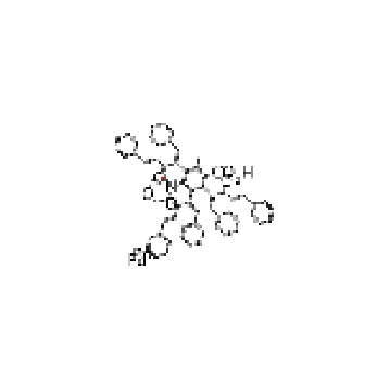 Cc1c(C(=O)O)c(C(=Cc2ccccc2)C(=O)C=Cc2ccccc2)c(C(=Cc2ccccc2)C(=O)C=Cc2ccccc2)c(N2CCOCC2)c1C(=Cc1ccccc1)C(=O)C=Cc1ccccc1.[Pd].[Pd]